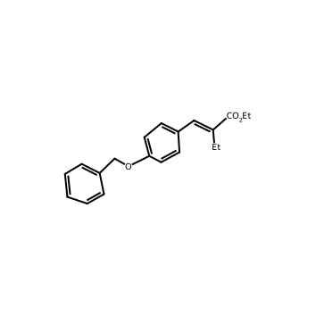 CCOC(=O)C(=Cc1ccc(OCc2ccccc2)cc1)CC